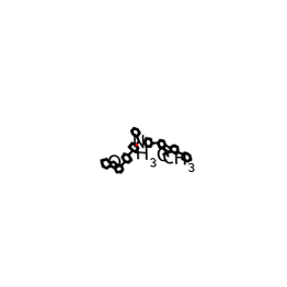 CC1(C)c2cc(-c3ccccc3)ccc2-c2ccc(-c3ccc(N(c4ccccc4)c4ccc(-c5ccc(-c6cccc7c6oc6ccccc67)cc5)cc4)cc3)cc21